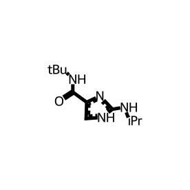 CC(C)Nc1nc(C(=O)NC(C)(C)C)c[nH]1